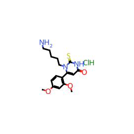 COc1ccc(-c2cc(=O)[nH]c(=S)n2CCCCCN)c(OC)c1.Cl